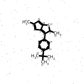 CC1=CC2=C(c3ccc(C(C)(C)C)cc3)C(C)SC2=[C]1